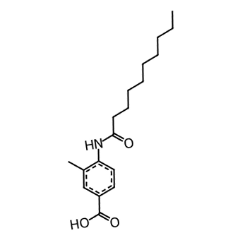 CCCCCCCCCC(=O)Nc1ccc(C(=O)O)cc1C